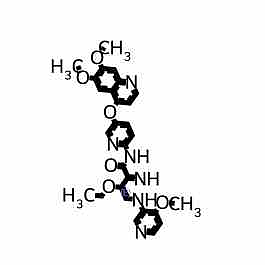 CCO/C(=C/Nc1cnccc1OC)C(=N)C(=O)Nc1ccc(Oc2ccnc3cc(OC)c(OC)cc23)cn1